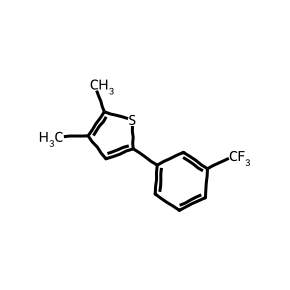 Cc1cc(-c2cccc(C(F)(F)F)c2)sc1C